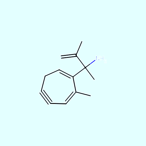 C=C(C)C(C)(N)C1=CCC#CC=C1C